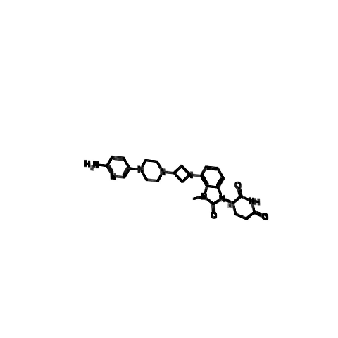 Cn1c(=O)n([C@@H]2CCC(=O)NC2=O)c2cccc(N3CC(N4CCN(c5ccc(N)nc5)CC4)C3)c21